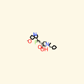 C=C(Cc1ccccc1)N1CC[C@@H](CC[C@@H](F)c2ccnc3ccc(OC)cc23)[C@@H](C(=O)O)C1